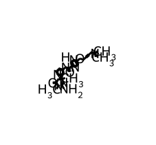 CN(C)CC#CCOc1cnc(C(=O)Nc2ccnc(C3(C)CC(=O)N(C)C(N)=N3)c2)cn1